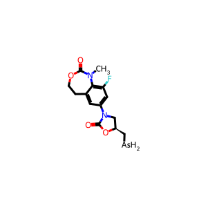 CN1C(=O)OCCc2cc(N3C[C@@H](C[AsH2])OC3=O)cc(F)c21